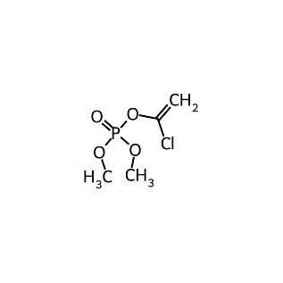 C=C(Cl)OP(=O)(OC)OC